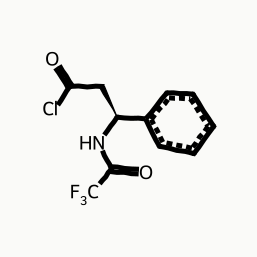 O=C(Cl)C[C@H](NC(=O)C(F)(F)F)c1ccccc1